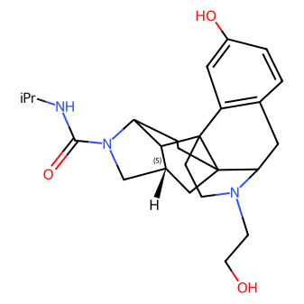 CC(C)NC(=O)N1C[C@H]2CC34CCC1C2C31CCN(CCO)C4Cc2ccc(O)cc21